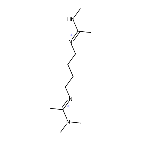 CN/C(C)=N/CCCC/N=C(\C)N(C)C